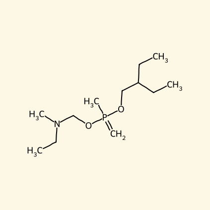 C=P(C)(OCC(CC)CC)OCN(C)CC